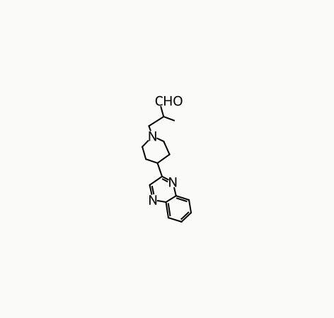 CC(C=O)CN1CCC(c2cnc3ccccc3n2)CC1